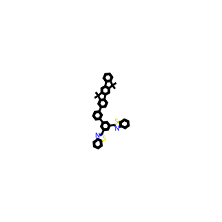 CC1(C)c2ccccc2-c2cc3c(cc21)-c1ccc(-c2cccc(-c4cc(-c5nc6ccccc6s5)cc(-c5nc6ccccc6s5)c4)c2)cc1C3(C)C